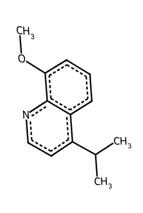 COc1cccc2c(C(C)C)ccnc12